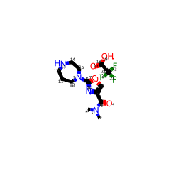 CN(C)C(=O)c1coc(N2CCCNCC2)n1.O=C(O)C(F)(F)F